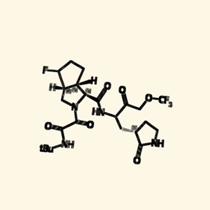 CC(C)(C)NC(=O)C(=O)N1C[C@@H]2C(F)CC[C@@H]2[C@H]1C(=O)NC(C[C@@H]1CCNC1=O)C(=O)COC(F)(F)F